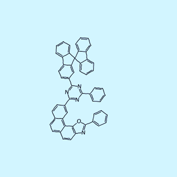 c1ccc(-c2nc(-c3ccc4c(c3)C3(c5ccccc5-c5ccccc53)c3ccccc3-4)nc(-c3ccc4ccc5ccc6nc(-c7ccccc7)oc6c5c4c3)n2)cc1